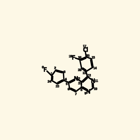 Fc1ccc(-c2ccc3ncnc(-c4ccc(Cl)c(F)c4)c3n2)cc1